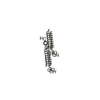 O=S(=O)(O)CCC(F)(F)C(F)(F)C(F)(F)C(F)(F)C(F)(F)C(F)(F)C(F)(F)C(F)(F)F.O=S(=O)(O)CCC(F)(F)C(F)(F)C(F)(F)C(F)(F)C(F)(F)C(F)(F)C(F)(F)C(F)(F)F.Oc1ccc(O)cc1